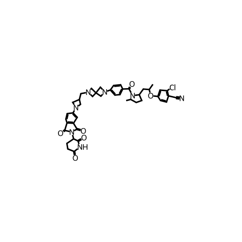 CC(CC1CCC(C)N1C(=O)c1ccc(N2CC3(CN(CC4CN(c5ccc6c(c5)C(=O)N(C5CCC(=O)NC5=O)C6=O)C4)C3)C2)cc1)Oc1ccc(C#N)c(Cl)c1